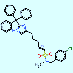 CN(Cc1ccc(Cl)cc1)S(=O)(=O)/C=C/CCCc1c[nH]c(C(c2ccccc2)(c2ccccc2)c2ccccc2)n1